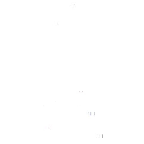 Cc1cc(O)c(C(=O)C=Cc2ccc(OCC#N)cc2)c(=O)[nH]1